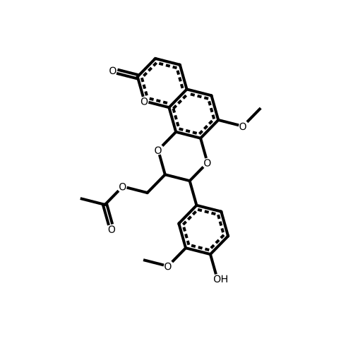 COc1cc(C2Oc3c(OC)cc4ccc(=O)oc4c3OC2COC(C)=O)ccc1O